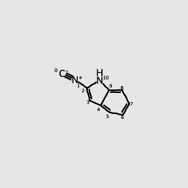 [C-]#[N+]c1cc2ccccc2[nH]1